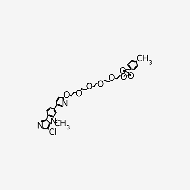 Cc1ccc(S(=O)(=O)OCCOCCOCCOCCOCCOc2ccc(-c3ccc4c5cncc(Cl)c5n(C)c4c3)cn2)cc1